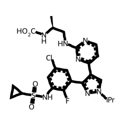 CC(C)n1cc(-c2ccnc(NC[C@H](C)NC(=O)O)n2)c(-c2cc(Cl)cc(NS(=O)(=O)C3CC3)c2F)n1